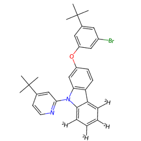 [2H]c1c([2H])c([2H])c2c(c1[2H])c1ccc(Oc3cc(Br)cc(C(C)(C)C)c3)cc1n2-c1cc(C(C)(C)C)ccn1